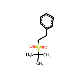 CC(C)(C)S(=O)(=O)CCc1ccccc1